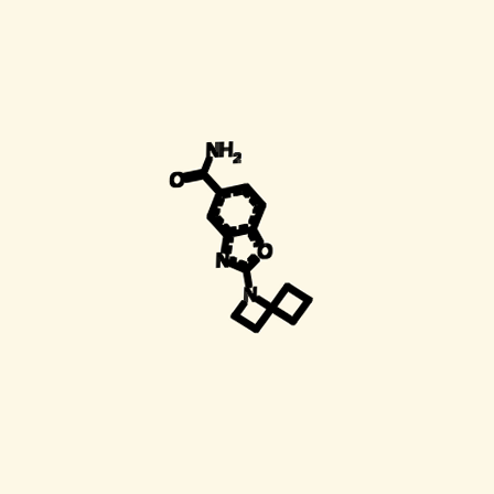 NC(=O)c1ccc2oc(N3CCC34CCC4)nc2c1